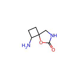 NC1CCC12CNC(=O)O2